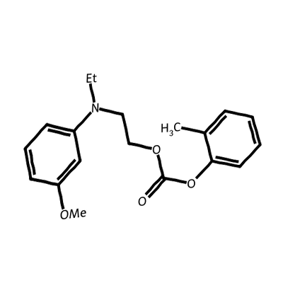 CCN(CCOC(=O)Oc1ccccc1C)c1cccc(OC)c1